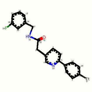 CCc1ccc(-c2ccc(CC(=O)NCc3cccc(F)c3)cn2)cc1